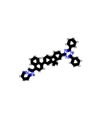 CC1(C)c2cc(-c3nc(-c4ccccc4)nc(-c4ccccc4)n3)ccc2-c2ccc(-c3ccc(-c4cn5ccccc5n4)c4ccccc34)cc21